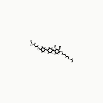 CCCCCCCCc1ccc(-c2ccc(-c3ccc(OCCCCC)cc3)cc2)c(F)c1F